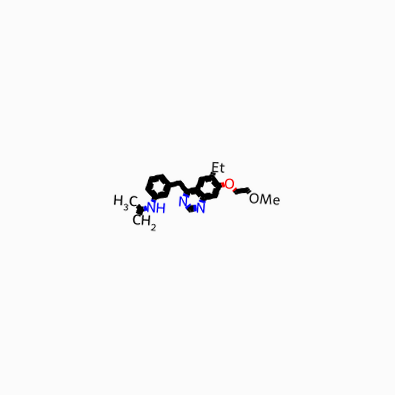 C=C(C)Nc1cccc(Cc2ncnc3cc(OCCOC)c(CC)cc23)c1